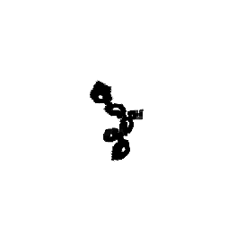 O=C(c1ccccc1)N1CCC(O)C(N2CCC(c3ccccc3)CC2)C1